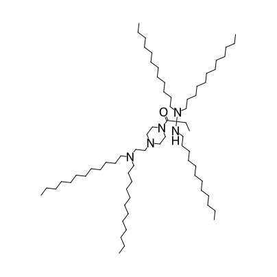 CCCCCCCCCCCCNC(CC)(C(=O)N1CCN(CCN(CCCCCCCCCCCC)CCCCCCCCCCCC)CC1)N(CCCCCCCCCCCC)CCCCCCCCCCCC